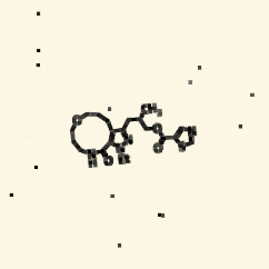 CCn1nc(C[C@@H](C)COC(=O)c2cncs2)c2c1C(=O)NCCCOCCC2